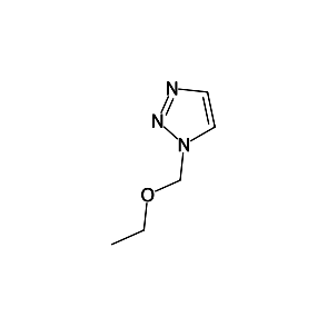 CCOCn1ccnn1